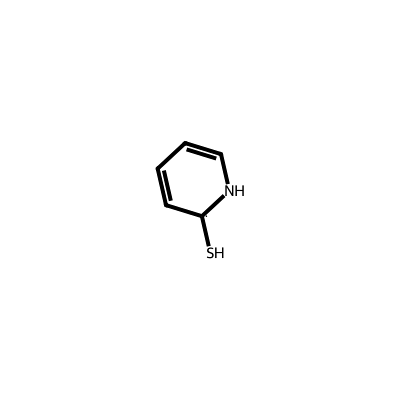 S[C]1C=CC=CN1